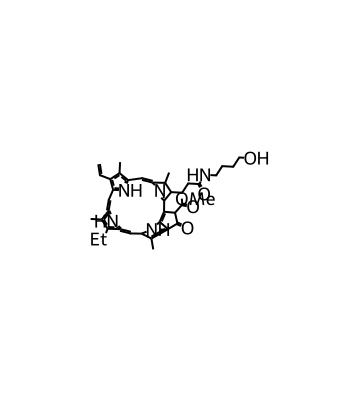 C=Cc1c2[nH]c(c1C)C=C1N=C(C3=C4NC(C=c5[nH]c(c(C)c5CC)=C2)C(C)=C4C(=O)C3C(=O)OC)C(CCC(=O)NCCCCO)C1C